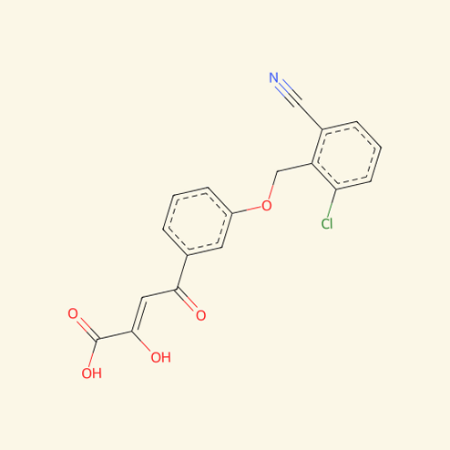 N#Cc1cccc(Cl)c1COc1cccc(C(=O)/C=C(\O)C(=O)O)c1